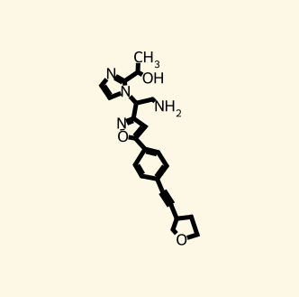 CC(O)c1nccn1C(CN)c1cc(-c2ccc(C#CC3CCOC3)cc2)on1